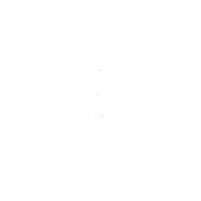 Cc1cccc(-c2ccc3ccccc3c2)n1